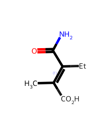 CC/C(C(N)=O)=C(/C)C(=O)O